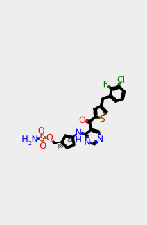 NS(=O)(=O)OC[C@@H]1CC[C@H](Nc2ncncc2C(=O)c2cc(Cc3cccc(Cl)c3F)cs2)C1